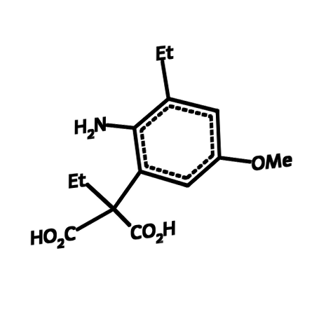 CCc1cc(OC)cc(C(CC)(C(=O)O)C(=O)O)c1N